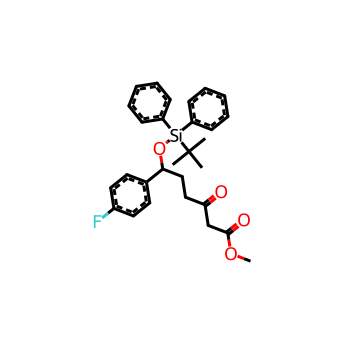 COC(=O)CC(=O)CCC(O[Si](c1ccccc1)(c1ccccc1)C(C)(C)C)c1ccc(F)cc1